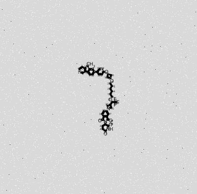 Cn1c2ccncc2c2ccc(-c3ccc(OC4CC(OCCCCCCOC(C5CN(c6ccc7c(c6)C(=O)N(C6CCC(=O)NC6=O)C7=O)C5)C(F)(F)F)C4)nc3)cc21